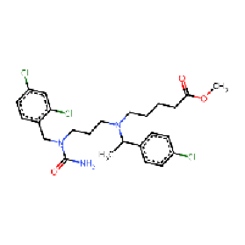 COC(=O)CCCCN(CCCN(Cc1ccc(Cl)cc1Cl)C(N)=O)C(C)c1ccc(Cl)cc1